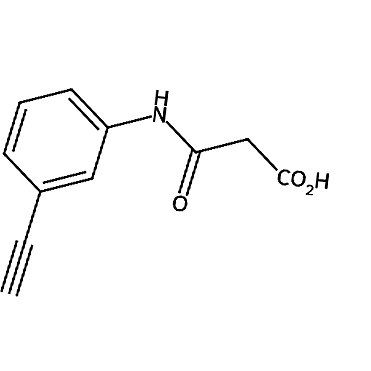 C#Cc1cccc(NC(=O)CC(=O)O)c1